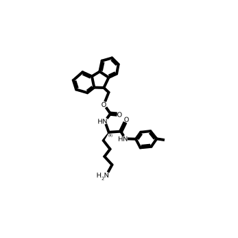 Cc1ccc(NC(=O)[C@@H](CCCCN)NC(=O)OCC2c3ccccc3-c3ccccc32)cc1